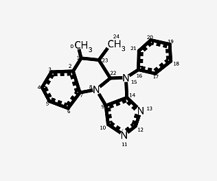 CC1c2ccccc2N2c3cncnc3N(c3ccccc3)C2C1C